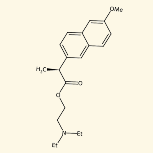 CCN(CC)CCOC(=O)[C@@H](C)c1ccc2cc(OC)ccc2c1